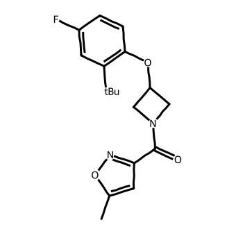 Cc1cc(C(=O)N2CC(Oc3ccc(F)cc3C(C)(C)C)C2)no1